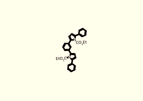 CCOC(=O)n1c(-c2ccccc2)ccc1-c1cccc(-c2ccc(-c3ccccc3)n2C(=O)OCC)c1